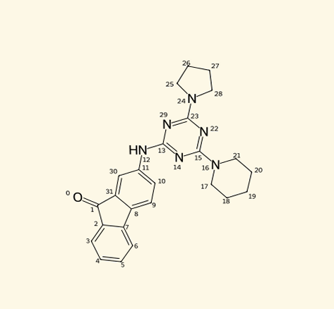 O=C1c2ccccc2-c2ccc(Nc3nc(N4CCCCC4)nc(N4CCCC4)n3)cc21